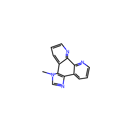 Cn1cnc2c3cccnc3c3ncccc3c21